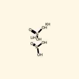 O=[Si](O)O.O=[Si](O)O.[KH].[LiH]